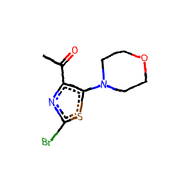 CC(=O)c1nc(Br)sc1N1CCOCC1